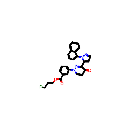 O=C(OCCCF)c1cccc(-n2ccc(=O)c(-c3ccnn3-c3cccc4ccccc34)n2)c1